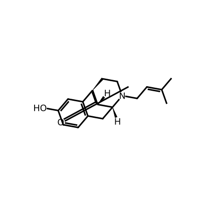 CC(C)=CCN1CC[C@]23CCC(=O)C[C@H]2[C@H]1Cc1ccc(O)cc13